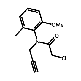 C#CCN(C(=O)CCl)c1c(C)cccc1OC